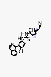 C=C(/C=C\C=C\C#N)NC(=S)Nc1ccc(Cl)c(-c2nccc3ccccc23)c1